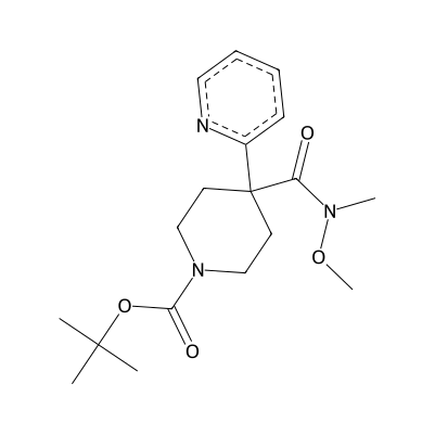 CON(C)C(=O)C1(c2ccccn2)CCN(C(=O)OC(C)(C)C)CC1